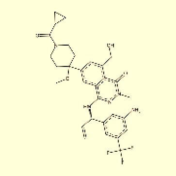 C=C[C@@H](Nc1nn(C)c(=O)c2c(CO)cc(C3(OC)CCN(C(=O)C4CC4)CC3)cc12)c1cc(N)cc(C(F)(F)F)c1